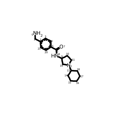 NCc1ccc(C(=O)NC2CCN(C3CCCCC3)C2)cc1